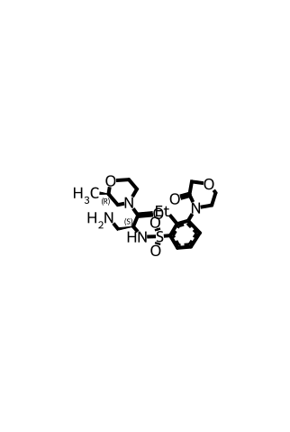 CCc1c(N2CCOCC2=O)cccc1S(=O)(=O)N[C@@H](CN)C(=O)N1CCO[C@H](C)C1